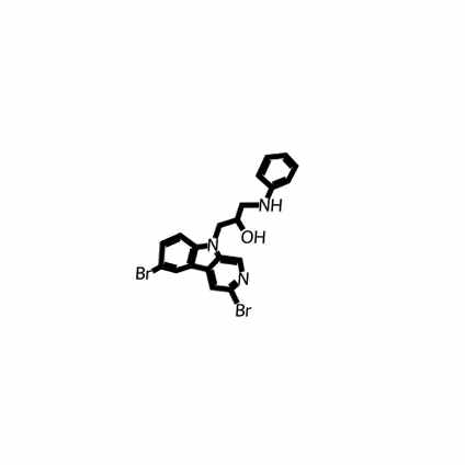 OC(CNc1ccccc1)Cn1c2ccc(Br)cc2c2cc(Br)ncc21